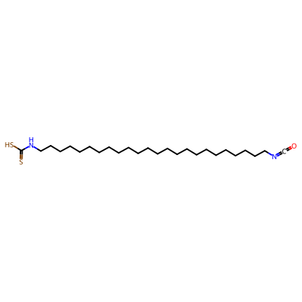 O=C=NCCCCCCCCCCCCCCCCCCCCCCCCNC(=S)S